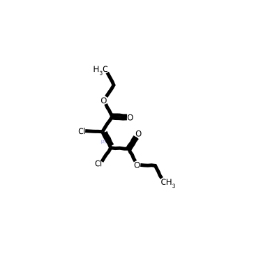 CCOC(=O)/C(Cl)=C(/Cl)C(=O)OCC